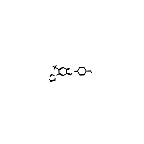 CC(C)(O)c1cc2nn(C3CCC(CO)CC3)cc2cc1-n1ccnc1